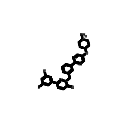 CN1CCC(Oc2cnc(-c3cccc(Cn4nc(-c5cc(F)cc(F)c5)ccc4=O)c3)nc2)CC1